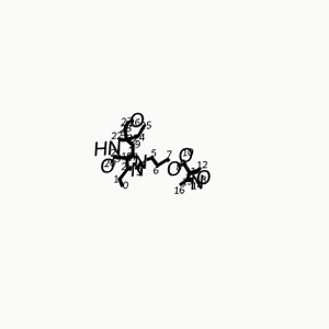 CCc1nn(CCCOC(=O)c2conc2C)c2c1C(=O)NCC1(CCOCC1)C2